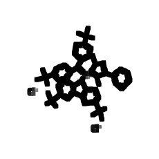 CC1=[C]([Zr+2](=[C](c2ccc(C(C)(C)C)cc2)c2ccc(C(C)(C)C)cc2)[CH]2c3ccc(C(C)(C)C)cc3-c3cc(C(C)(C)C)ccc32)C(C)C=C1c1ccccc1.[Cl-].[Cl-]